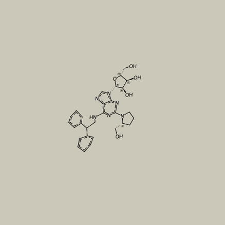 OC[C@H]1CCCN1c1nc(NCC(c2ccccc2)c2ccccc2)c2ncn([C@@H]3O[C@H](CO)[C@@H](O)[C@H]3O)c2n1